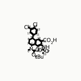 CN(C(=O)OC(C)(C)C)[C@H]1CCC(c2ccc(Cl)c(Cl)c2)c2cc(C(=O)O)c(NS(C)(=O)=O)cc21